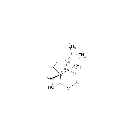 CC(C)[C@H]1CC[C@H]2C(O)CCC[C@]12C